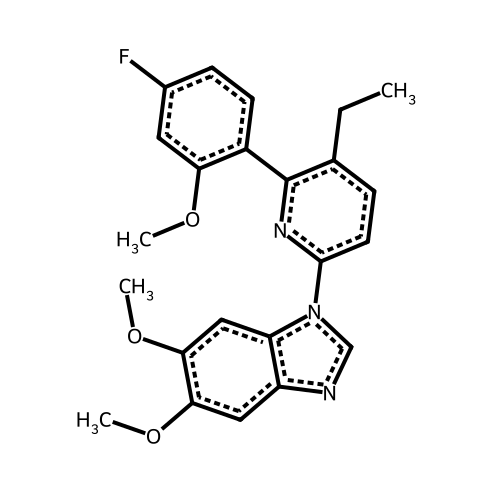 CCc1ccc(-n2cnc3cc(OC)c(OC)cc32)nc1-c1ccc(F)cc1OC